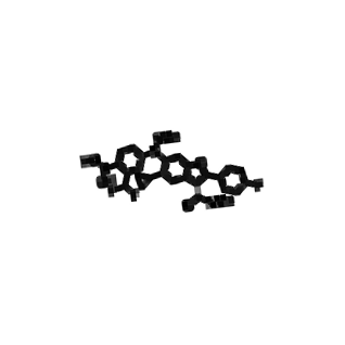 CNC(=O)c1c(-c2ccc(F)cc2)oc2cc(N(SC)c3ccc(B(O)O)c(C(F)F)c3)c(C3CC3)cc12